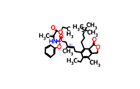 CCOC(=O)[C@H](C)NP(=O)(C/C(C)=C/Cc1c(CC)c(C)c2c(c1CCC[Si](C)(C)C)C(=O)OC2)Oc1ccccc1